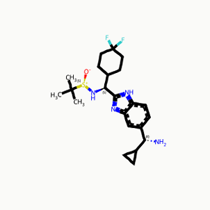 CC(C)(C)[S@@+]([O-])N[C@H](c1nc2cc([C@H](N)C3CC3)ccc2[nH]1)C1CCC(F)(F)CC1